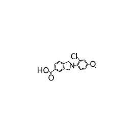 COc1ccc(N2Cc3ccc(C(=O)O)cc3C2)c(Cl)c1